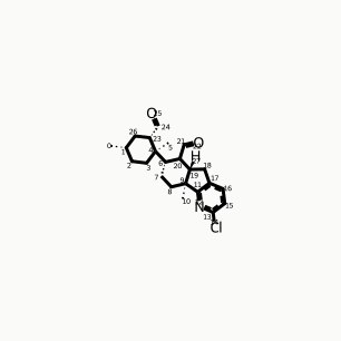 C[C@H]1CC[C@](C)([C@H]2CC[C@]3(C)c4nc(Cl)ccc4C[C@H]3C2C=O)[C@@H](C=O)C1